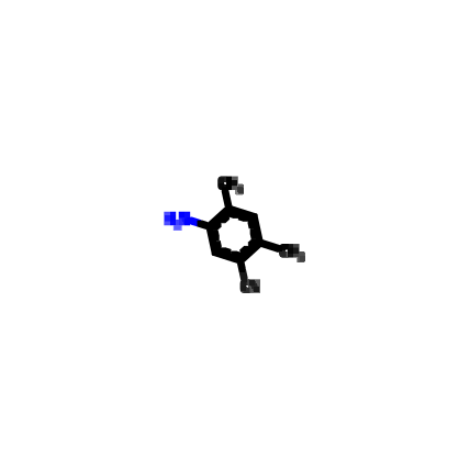 Cc1cc(C)c(C#N)cc1N